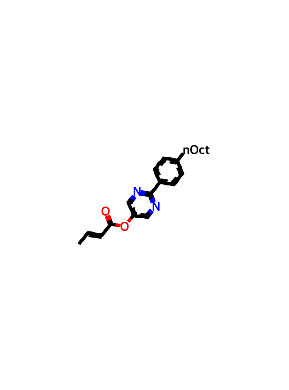 CC=CC(=O)Oc1cnc(-c2ccc(CCCCCCCC)cc2)nc1